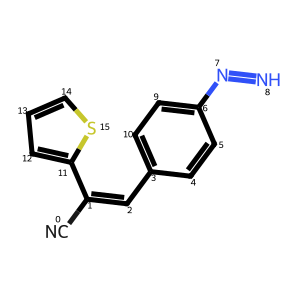 N#CC(=Cc1ccc(N=N)cc1)c1cccs1